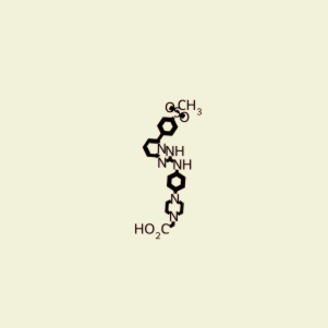 CS(=O)(=O)c1ccc(C2=CC=CC3=NC(Nc4ccc(N5CCN(CC(=O)O)CC5)cc4)NN23)cc1